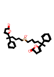 CC(CCCC[S+]([O-])CCCCC(C)(C1=CCC(=O)O1)c1ccccc1)(C1=CCC(=O)O1)c1ccccc1